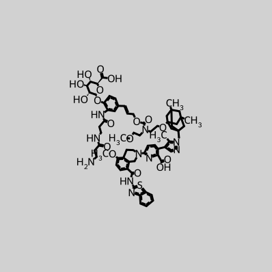 COCCN(CCOC12CC3(C)CC(C)(CC(Cn4ncc(-c5ccc(N6CCc7c(OC)ccc(C(=O)Nc8nc9ccccc9s8)c7C6)nc5C(=O)O)c4C)(C3)C1)C2)C(=O)OCC=Cc1ccc(O[C@@H]2O[C@H](C(=O)O)[C@@H](O)[C@H](O)[C@H]2O)c(NC(=O)CCNC(=O)CCN)c1